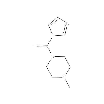 CN1CCN(C(=O)n2ccnc2)CC1